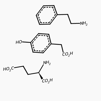 NCCc1ccccc1.N[C@H](CCC(=O)O)C(=O)O.O=C(O)Cc1ccc(O)cc1